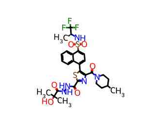 CC1CCN(C(=O)c2nc(C(=O)NNC(=O)C(C)(C)O)sc2-c2ccc(S(=O)(=O)N[C@@H](C)C(F)(F)F)c3ccccc23)CC1